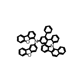 c1ccc(-c2cc(N(c3ccc4oc5ccccc5c4c3)c3cccc4c3oc3ccccc34)ccc2-c2ccccc2-n2c3ccccc3c3ccc4ccccc4c32)cc1